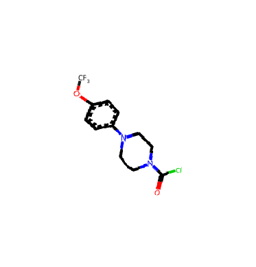 O=C(Cl)N1CCN(c2ccc(OC(F)(F)F)cc2)CC1